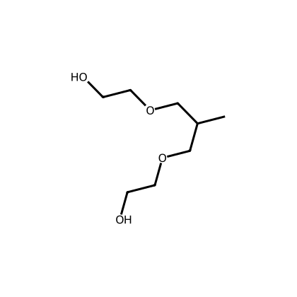 CC(COCCO)COCCO